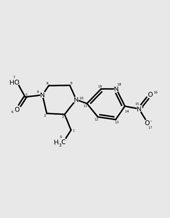 CCC1CN(C(=O)O)CCN1c1ccc([N+](=O)[O-])nc1